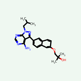 CC(C)Cn1nc(-c2ccc3cc(OCC(C)(C)O)ccc3c2)c2c(N)ncnc21